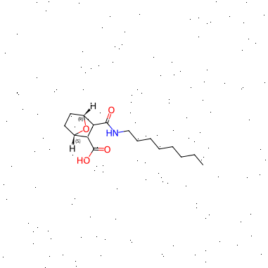 CCCCCCCCNC(=O)C1C(C(=O)O)[C@@H]2CC[C@H]1O2